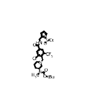 CC[S+]([O-])n1cccc1CNC(=O)c1cc(Cl)c(CN2CCC[C@H](N(C)C(=O)OC(C)(C)C)C2)c(C(F)(F)F)c1